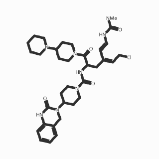 CNC(=O)N/C=C/C(=C\CCl)CC(NC(=O)N1CCC(N2Cc3ccccc3NC2=O)CC1)C(=O)N1CCC(N2CCCCC2)CC1